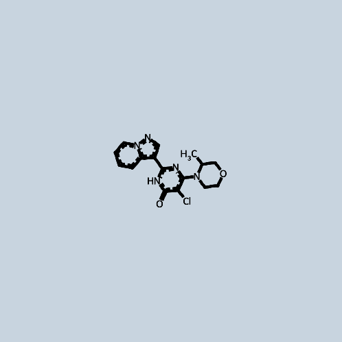 CC1COCCN1c1nc(-c2cnn3ccccc23)[nH]c(=O)c1Cl